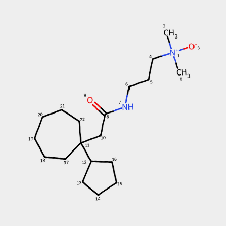 C[N+](C)([O-])CCCNC(=O)CC1(C2CCCC2)CCCCCC1